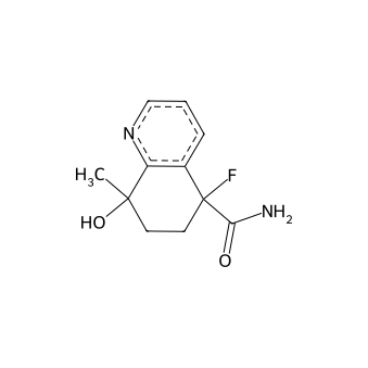 CC1(O)CCC(F)(C(N)=O)c2cccnc21